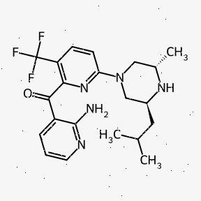 CC(C)C[C@H]1CN(c2ccc(C(F)(F)F)c(C(=O)c3cccnc3N)n2)C[C@H](C)N1